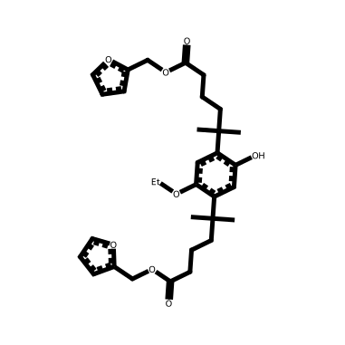 CCOc1cc(C(C)(C)CCCC(=O)OCc2ccco2)c(O)cc1C(C)(C)CCCC(=O)OCc1ccco1